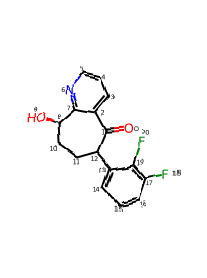 O=C1c2cccnc2[C@H](O)CCC1c1cccc(F)c1F